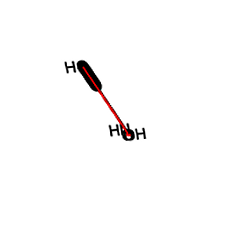 O=C(O)CCCCCNCCCCCCCCCCCCCCCCCCCCCCCCCCCCCCCCCCCCCCCCCCCCCCCCCCOOOOOOOOOOOOOOOOOOOOOOOO